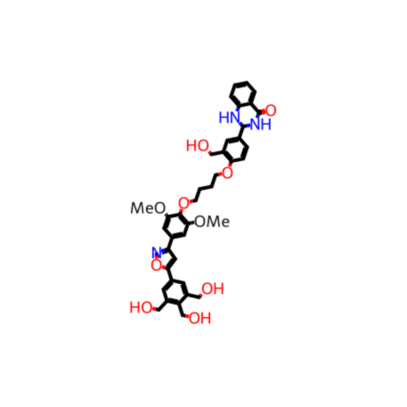 COc1cc(-c2cc(-c3cc(CO)c(CO)c(CO)c3)on2)cc(OC)c1OCCCCOc1ccc(C2NC(=O)c3ccccc3N2)cc1CO